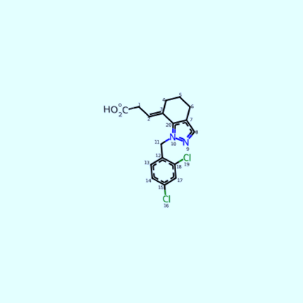 O=C(O)CC=C1CCCc2cnn(Cc3ccc(Cl)cc3Cl)c21